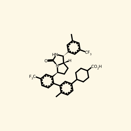 Cc1cc([C@H]2NC(=O)N3[C@H](c4cc(C(F)(F)F)ccc4-c4cc(C5CCC(C(=O)O)CC5)ccc4C)CC[C@@H]23)cc(C(F)(F)F)c1